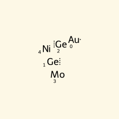 [Au].[Ge].[Ge].[Mo].[Ni]